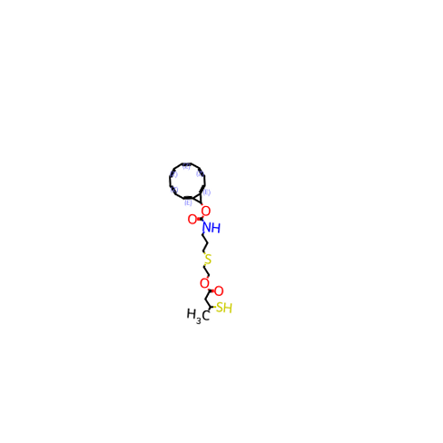 CC(S)CC(=O)OCCSCCCNC(=O)OC1C2=C/C=C\C=C/C=C\C=C/C=C\21